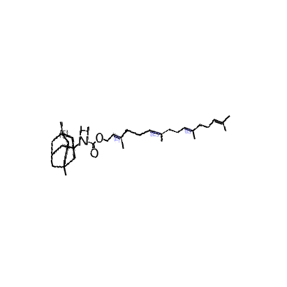 CC(C)=CCC/C(C)=C/CC/C(C)=C/CC/C(C)=C/COC(=O)NC12CC3CC(C)(C1)C[C@](C)(C3)C2